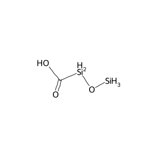 O=C(O)[SiH2]O[SiH3]